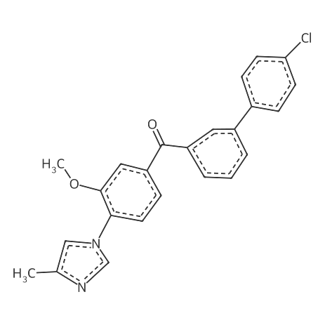 COc1cc(C(=O)c2cccc(-c3ccc(Cl)cc3)c2)ccc1-n1cnc(C)c1